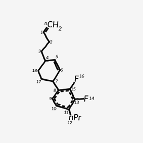 C=CCCC1C=CC(c2ccc(CCC)c(F)c2F)CC1